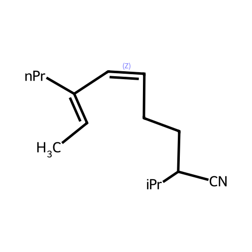 CC=C(/C=C\CCC(C#N)C(C)C)CCC